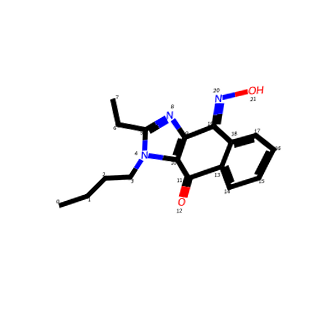 CCCCn1c(CC)nc2c1C(=O)c1ccccc1/C2=N\O